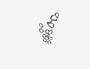 c1ccc(-c2ccccc2-c2ccccc2-c2ccccc2N(c2ccc(-c3ccc(-c4ccc5ccccc5c4)cc3)cc2)c2cccc3c2-c2ccccc2C32CCCC2)cc1